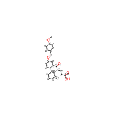 COc1ccc(COc2cccc(C(=O)[C@@H](CCC(=O)O)c3ccccc3C)c2)cc1